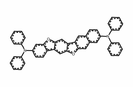 c1ccc(N(c2ccccc2)c2ccc3cc4c(cc3c2)oc2cc3c(cc24)oc2cc(N(c4ccccc4)c4ccccc4)ccc23)cc1